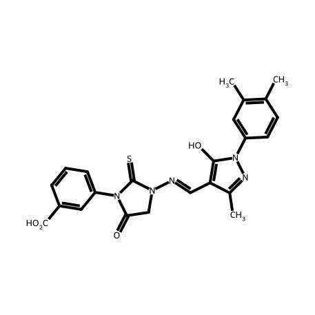 Cc1ccc(-n2nc(C)c(C=NN3CC(=O)N(c4cccc(C(=O)O)c4)C3=S)c2O)cc1C